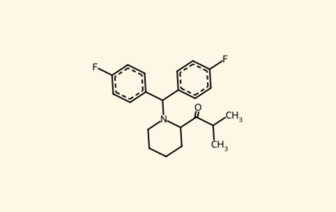 CC(C)C(=O)C1CCCCN1C(c1ccc(F)cc1)c1ccc(F)cc1